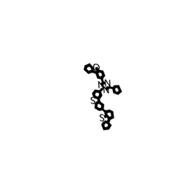 c1ccc(-c2nc(-c3ccc4oc5ccccc5c4c3)nc(-c3ccc4sc5ccc(-c6cccc7c6sc6ccccc67)cc5c4c3)n2)cc1